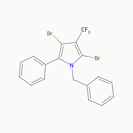 FC(F)(F)c1c(Br)c(-c2ccccc2)n(Cc2ccccc2)c1Br